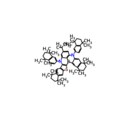 CC(C)c1cc2c3c(c1)N(c1ccc4c(c1)C(C)(C)CCC4(C)C)c1c(sc4cc5c(cc14)C(C)(C)CCC5(C)C)B3c1cc3c(cc1N2c1ccc2c(c1)C(C)(C)CCC2(C)C)C(C)(C)CCC3(C)C